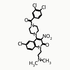 CN(C)CCn1c(=O)c([N+](=O)[O-])c(N2CCN(C(=O)c3ccc(Cl)c(Cl)c3)CC2)c2cc(Cl)ccc21